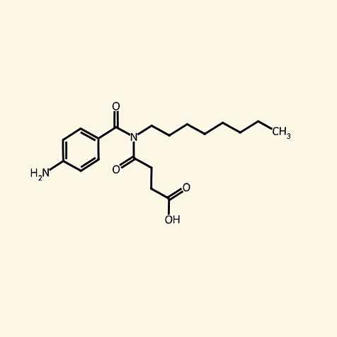 CCCCCCCCN(C(=O)CCC(=O)O)C(=O)c1ccc(N)cc1